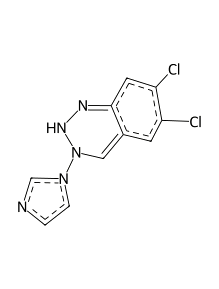 Clc1cc2c(cc1Cl)=NNN(n1ccnc1)C=2